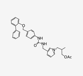 CC(=O)OCC(C)C[n+]1cccc(CNC(=O)Nc2ccc(COc3ccccc3-c3ccccc3)cc2)c1